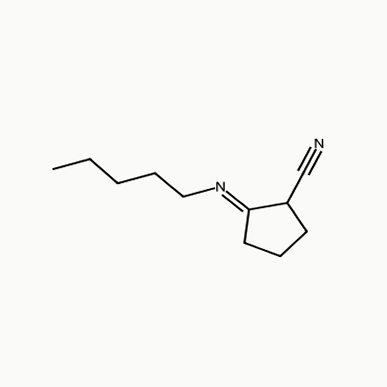 CCCCCN=C1CCCC1C#N